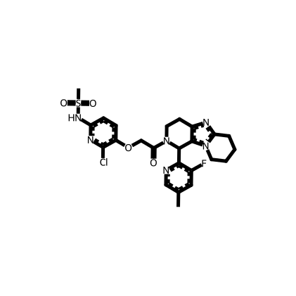 Cc1cnc(C2c3c(nc4n3CCCC4)CCN2C(=O)COc2ccc(NS(C)(=O)=O)nc2Cl)c(F)c1